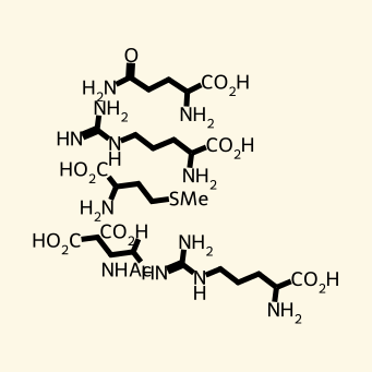 CC(=O)NC(CCC(=O)O)C(=O)O.CSCCC(N)C(=O)O.N=C(N)NCCCC(N)C(=O)O.N=C(N)NCCCC(N)C(=O)O.NC(=O)CCC(N)C(=O)O